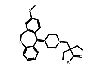 CCC(CC)(CN1CCC(=C2c3ccc(OC)cc3COc3ccccc32)CC1)C(=O)O